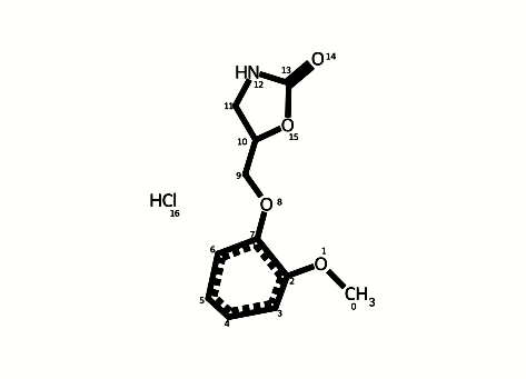 COc1ccccc1OCC1CNC(=O)O1.Cl